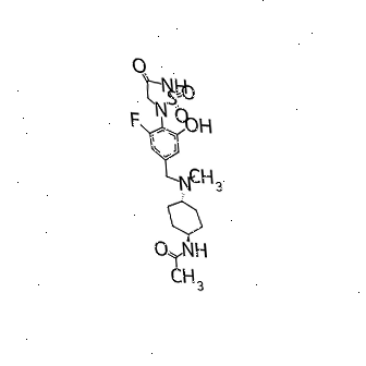 CC(=O)N[C@H]1CC[C@H](N(C)Cc2cc(O)c(N3CC(=O)NS3(=O)=O)c(F)c2)CC1